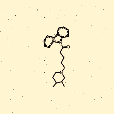 CC1CCN(CCCCC(=O)n2c3ccccc3c3ccccc32)CC1C